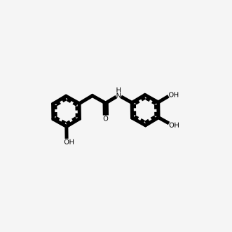 O=C(Cc1cccc(O)c1)Nc1ccc(O)c(O)c1